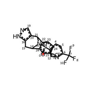 O=S(=O)(c1ccc(C(F)(F)F)nc1)N1C2Cc3[nH]ncc3C1c1ccc(Cl)cc12